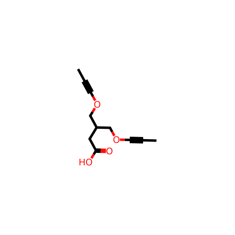 CC#COCC(COC#CC)CC(=O)O